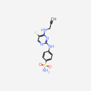 C#CCNc1nc(Nc2ccc(S(N)(=O)=O)cc2)ncc1F